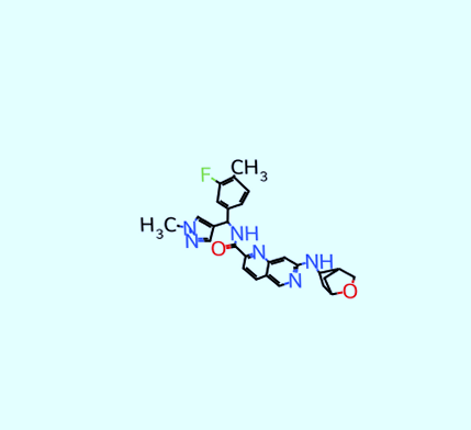 Cc1ccc(C(NC(=O)c2ccc3cnc(NC4CC5CC4CO5)cc3n2)c2cnn(C)c2)cc1F